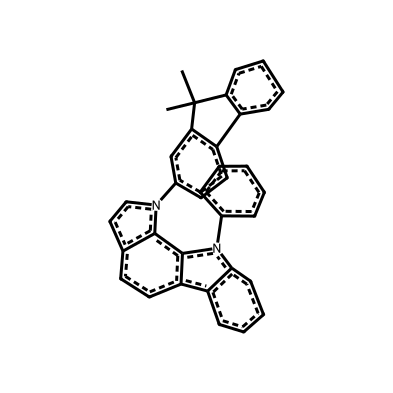 CC1(C)c2ccccc2-c2ccc(-n3ccc4ccc5c6ccccc6n(-c6ccccc6)c5c43)cc21